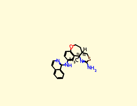 C[C@]12N=C(N)SC[C@H]1CCOc1ccc(Nc3nccc4ccccc34)cc12